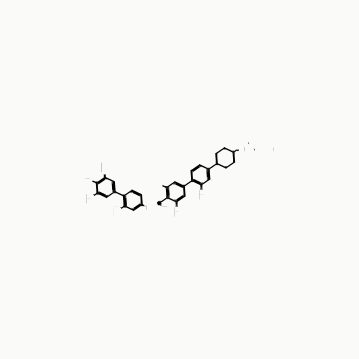 CCCCCCCCCC1CCC(c2ccc(-c3cc(F)c(C(F)(F)Oc4ccc(-c5cc(F)c(F)c(F)c5)c(F)c4)c(F)c3)c(F)c2)CC1